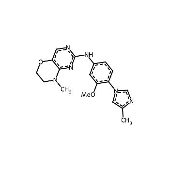 COc1cc(Nc2ncc3c(n2)N(C)CCO3)ccc1-n1cnc(C)c1